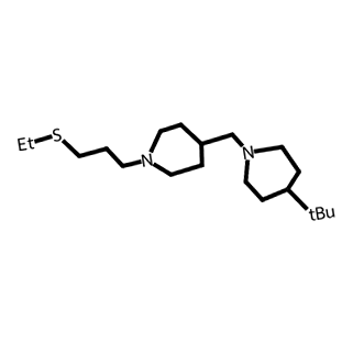 CCSCCCN1CCC(CN2CCC(C(C)(C)C)CC2)CC1